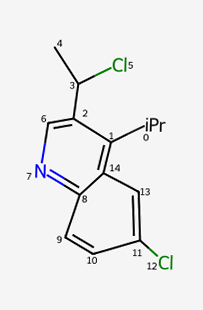 CC(C)c1c(C(C)Cl)cnc2ccc(Cl)cc12